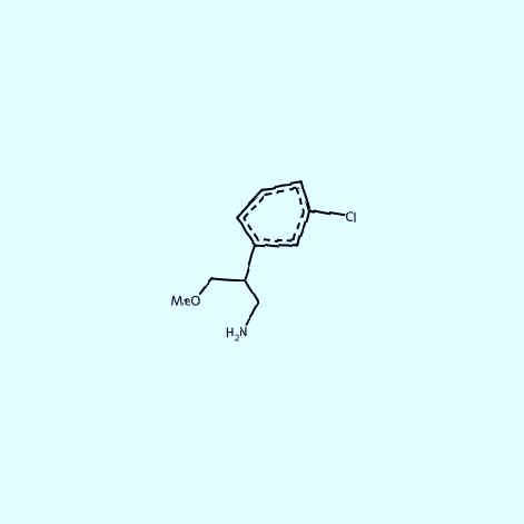 COCC(CN)c1cccc(Cl)c1